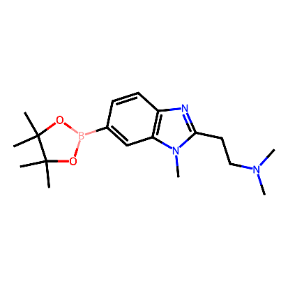 CN(C)CCc1nc2ccc(B3OC(C)(C)C(C)(C)O3)cc2n1C